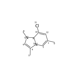 CC1=CN2C(C)=CN(C)C2C(Cl)=C1